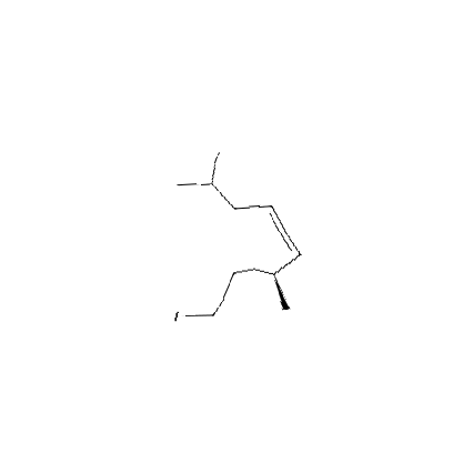 CC(C)C/C=C\[C@@H](C)CCI